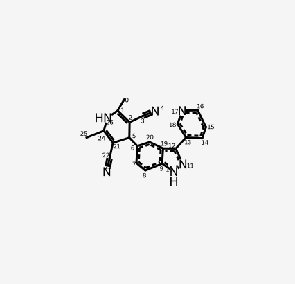 CC1=C(C#N)C(c2ccc3[nH]nc(-c4cccnc4)c3c2)C(C#N)=C(C)N1